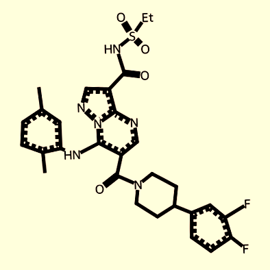 CCS(=O)(=O)NC(=O)c1cnn2c(Nc3cc(C)ccc3C)c(C(=O)N3CCC(c4ccc(F)c(F)c4)CC3)cnc12